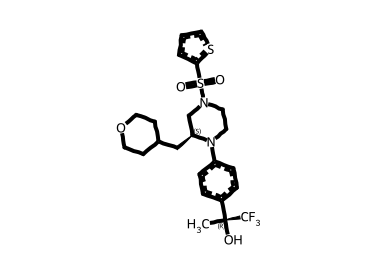 C[C@@](O)(c1ccc(N2CCN(S(=O)(=O)c3cccs3)C[C@@H]2CC2CCOCC2)cc1)C(F)(F)F